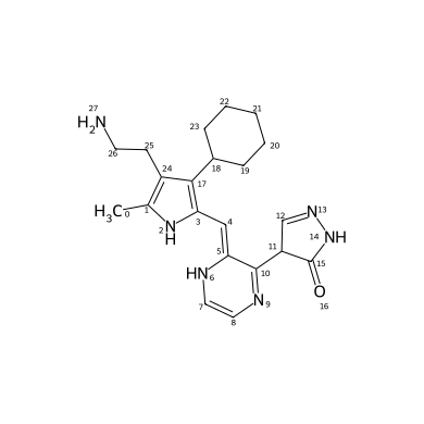 Cc1[nH]c(C=C2NC=CN=C2C2C=NNC2=O)c(C2CCCCC2)c1CCN